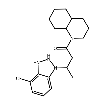 CC(CC(=O)N1CCCC2CCCCC21)N1NNc2c(Cl)cccc21